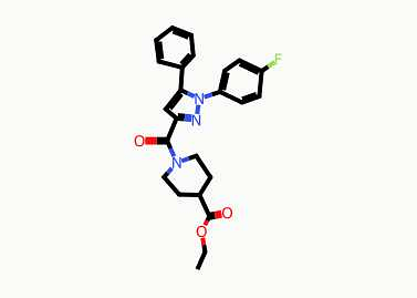 CCOC(=O)C1CCN(C(=O)c2cc(-c3ccccc3)n(-c3ccc(F)cc3)n2)CC1